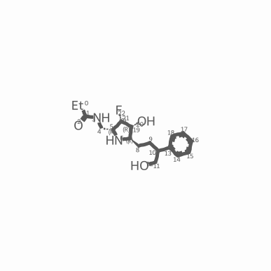 CCC(=O)NC[C@H]1N[C@H](CCC(CO)c2ccccc2)[C@@H](O)[C@H]1F